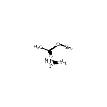 C=C.CC(=O)O[SiH3]